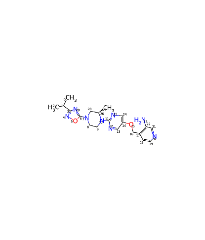 CC(C)c1noc(N2CCN(c3ncc(OCc4ccncc4N)cn3)[C@H](C)C2)n1